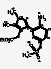 CCOC(=O)Cc1c(-c2cc(CS(C)(=O)=O)ccc2N)cn(C)c1C#N